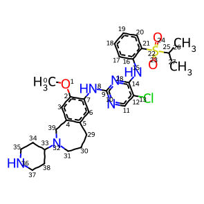 COc1cc2c(cc1Nc1ncc(Cl)c(Nc3ccccc3S(=O)(=O)C(C)C)n1)CCCN(C1CCNCC1)C2